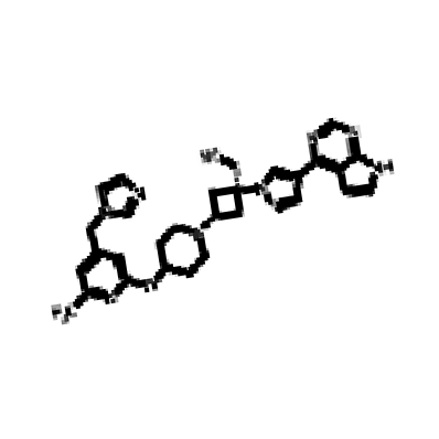 N#CC[C@]1(n2cc(-c3ncnc4[nH]ccc34)cn2)C[C@@H](N2CCC(Oc3cc(Cn4ccnc4)cc(C(F)(F)F)n3)CC2)C1